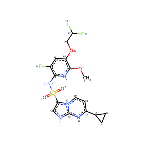 COc1nc(NS(=O)(=O)c2cnc3nc(C4CC4)ccn23)c(F)cc1OCC(F)F